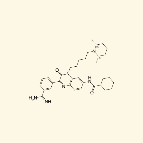 C[C@@H]1CCC[C@H](C)N1CCCCCn1c(=O)c(-c2cccc(C(=N)N)c2)nc2ccc(NC(=O)C3CCCCC3)cc21